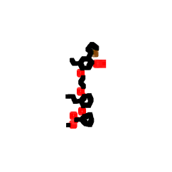 CCCc1c(OCCCOc2cc(O)c(-c3cccs3)cc2CC)cccc1Oc1ccccc1C(=O)OC